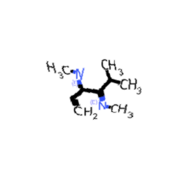 C=CC(=N\C)/C(=N/C)C(C)C